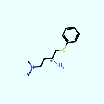 CC(C)N(C)CC[C@@H](N)CSc1ccccc1